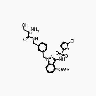 COc1cccc2c1c(NS(=O)(=O)c1ccc(Cl)s1)nn2Cc1cccc(CNC(=O)[C@@H](N)CO)c1